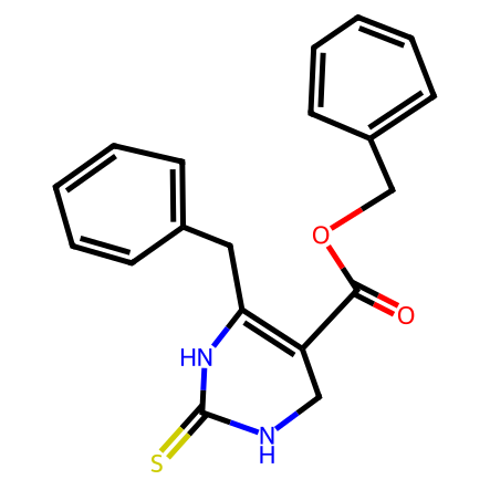 O=C(OCc1ccccc1)C1=C(Cc2ccccc2)NC(=S)NC1